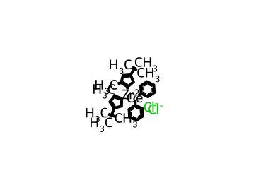 CC1=[C]([Zr+2]([C]2=C(C)C=C(C(C)(C)C)C2)=[Ge]([c]2ccccc2)[c]2ccccc2)CC(C(C)(C)C)=C1.[Cl-].[Cl-]